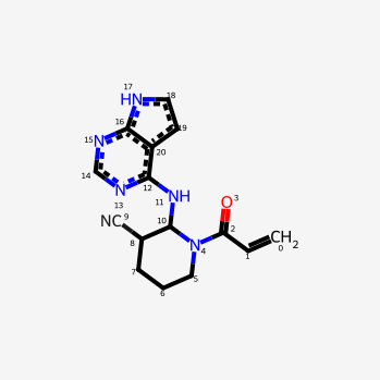 C=CC(=O)N1CCCC(C#N)C1Nc1ncnc2[nH]ccc12